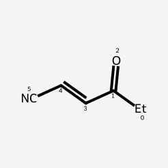 CCC(=O)/C=C/C#N